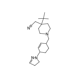 CC(C)(C)C1(CC#N)CCN(CC2C=CC(N3CCC=N3)CC2)CC1